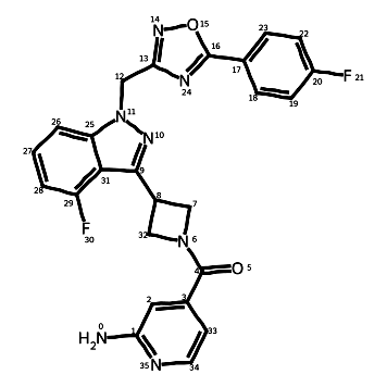 Nc1cc(C(=O)N2CC(c3nn(Cc4noc(-c5ccc(F)cc5)n4)c4cccc(F)c34)C2)ccn1